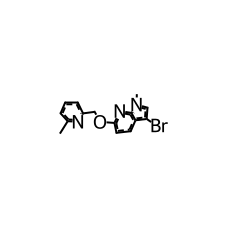 Cc1cccc(COc2ccc3c(Br)cn(C)c3n2)n1